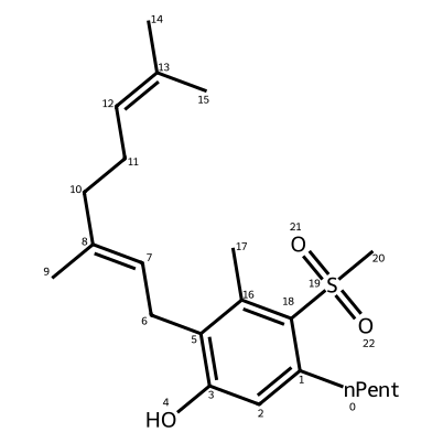 CCCCCc1cc(O)c(C/C=C(\C)CCC=C(C)C)c(C)c1S(C)(=O)=O